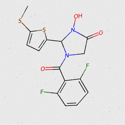 CSc1ccc(C2N(O)C(=O)CN2C(=O)c2c(F)cccc2F)s1